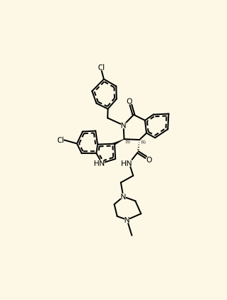 CN1CCN(CCNC(=O)[C@H]2c3ccccc3C(=O)N(Cc3ccc(Cl)cc3)[C@@H]2c2c[nH]c3cc(Cl)ccc23)CC1